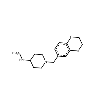 O=C(O)NC1CCN(Cc2ccc3c(c2)OCCO3)CC1